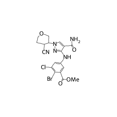 COC(=O)c1cc(Nc2nn(C3COCCC3C#N)cc2C(N)=O)cc(Cl)c1Br